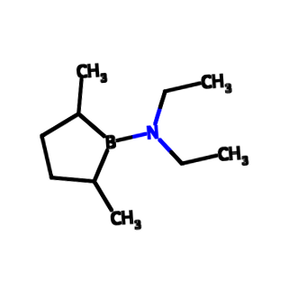 CCN(CC)B1C(C)CCC1C